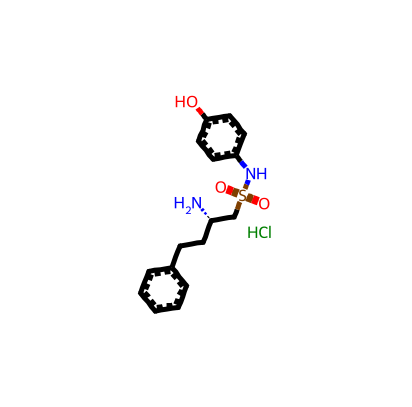 Cl.N[C@@H](CCc1ccccc1)CS(=O)(=O)Nc1ccc(O)cc1